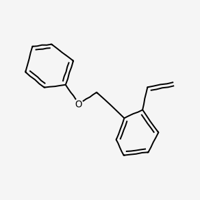 C=Cc1ccccc1COc1ccccc1